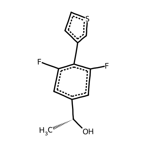 C[C@@H](O)c1cc(F)c(-c2ccsc2)c(F)c1